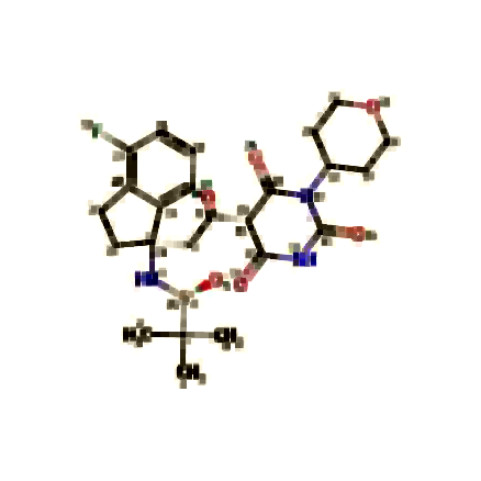 CC(C)(C)[S@+]([O-])N[C@@]1(CC(=O)[C@H]2C(=O)NC(=O)N(C3CCOCC3)C2=O)CCc2c(F)cccc21